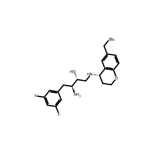 CC(C)(C)Cc1ccc2c(c1)[C@@H](NC[C@@H](O)[C@@H](N)Cc1cc(F)cc(F)c1)CCO2